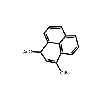 CC(=O)OC1C=C(OCC(C)C)c2cccc3cccc1c23